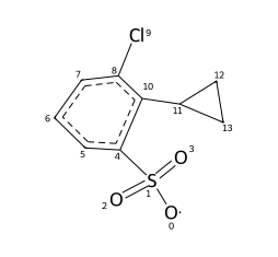 [O]S(=O)(=O)c1cccc(Cl)c1C1CC1